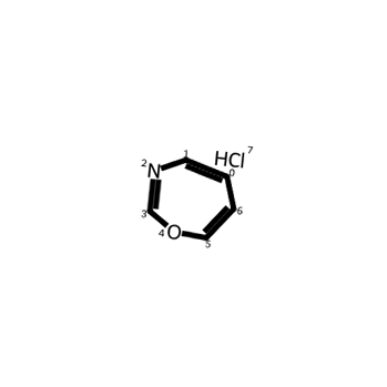 C1=CN=COC=C1.Cl